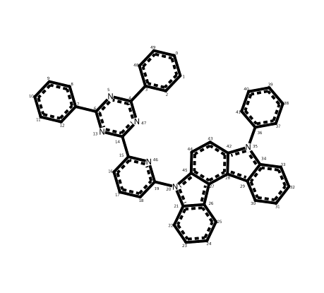 c1ccc(-c2nc(-c3ccccc3)nc(-c3cccc(-n4c5ccccc5c5c6c7ccccc7n(-c7ccccc7)c6ccc54)n3)n2)cc1